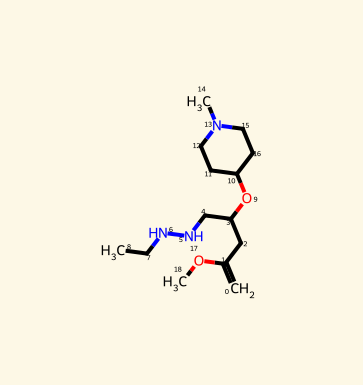 C=C(CC(CNNCC)OC1CCN(C)CC1)OC